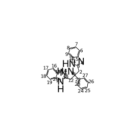 NC(Cc1nc2ccccc2[nH]1)(Cc1nc2ccccc2[nH]1)c1ccccc1